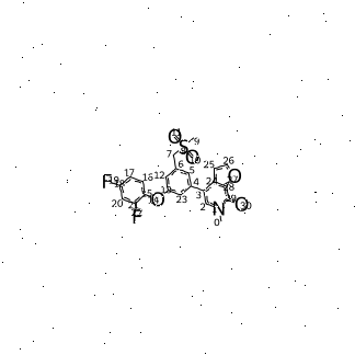 Cn1cc(-c2cc(CS(C)(=O)=O)cc(Oc3ccc(F)cc3F)c2)c2ccoc2c1=O